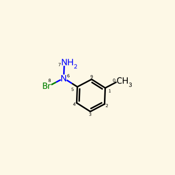 Cc1cccc(N(N)Br)c1